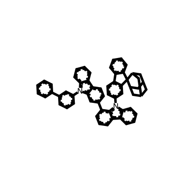 c1ccc(-c2cccc(-n3c4ccccc4c4ccc(-c5cccc6c7ccccc7n(-c7ccc8c(c7)C7(c9ccccc9-8)C8CC9CC(C8)CC7C9)c56)cc43)c2)cc1